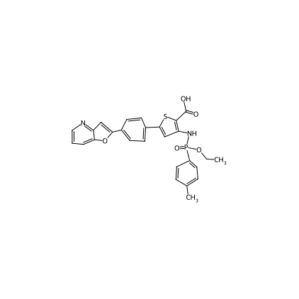 CCOP(=O)(Nc1cc(-c2ccc(-c3cc4ncccc4o3)cc2)sc1C(=O)O)c1ccc(C)cc1